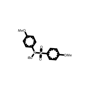 CCC(C)N(c1ccc(OC)cc1)S(=O)(=O)c1ccc(OC)cc1